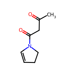 CC(=O)CC(=O)N1C=CCC1